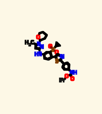 Cc1cc(Nc2ccc(-c3cnc(-c4ccc(NC(=O)OC(C)C)cc4)s3)c(S(=O)(=O)C3CC3)c2)nn1C1CCCCO1